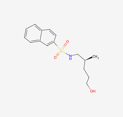 C[C@@H](CCCO)CNS(=O)(=O)c1ccc2ccccc2c1